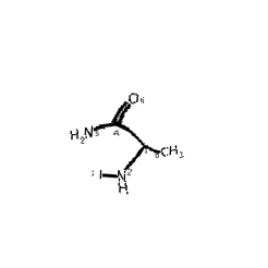 CC(NI)C(N)=O